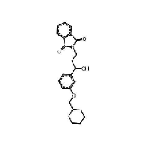 O=C1c2ccccc2C(=O)N1CCC(O)c1cccc(OCC2CCCCC2)c1